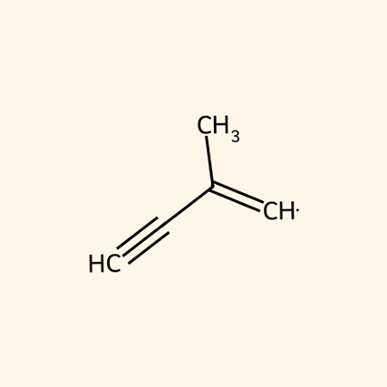 [CH]=C(C)C#C